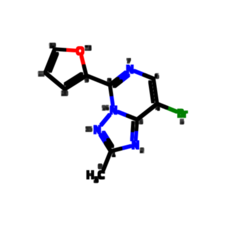 Cc1nc2c(Br)cnc(-c3ccco3)n2n1